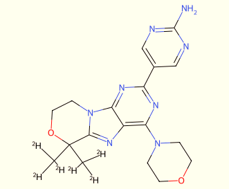 [2H]C([2H])([2H])C1(C([2H])([2H])[2H])OCCn2c1nc1c(N3CCOCC3)nc(-c3cnc(N)nc3)nc12